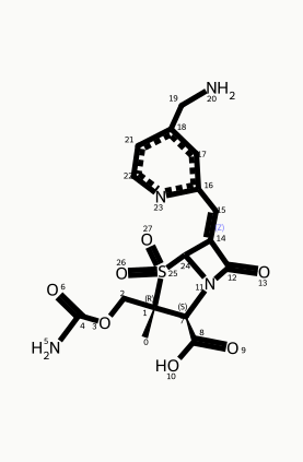 C[C@]1(COC(N)=O)[C@H](C(=O)O)N2C(=O)/C(=C/c3cc(CN)ccn3)C2S1(=O)=O